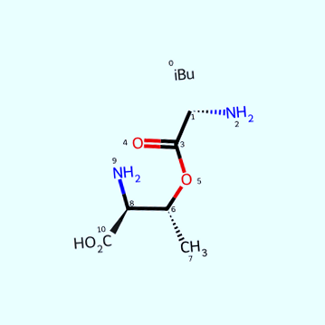 CC[C@H](C)[C@H](N)C(=O)O[C@H](C)[C@H](N)C(=O)O